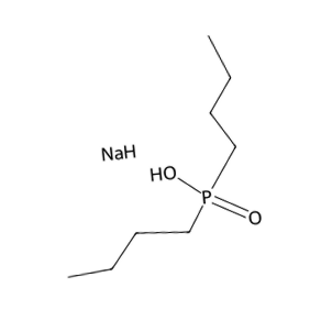 CCCCP(=O)(O)CCCC.[NaH]